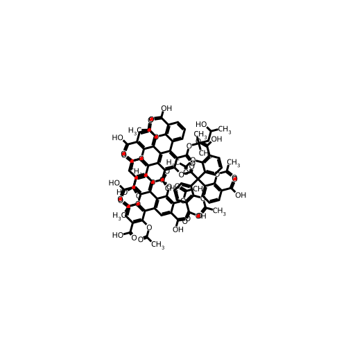 CC(=O)Oc1c(C(=O)O)cccc1-c1cc(C(=O)O)c(OC(C)=O)c(OOc2c(OC(=O)C(c3cccc(C(=O)O)c3OC(C)=O)(c3cccc(C(=O)O)c3OC(C)=O)c3cccc(C(=O)O)c3OC(C)=O)c(C(=O)OC(C)(C)CC(C)O)c(-c3cccc(C(=O)O)c3OC(C)=O)c(-c3cccc(C(=O)O)c3OC(C)=O)c2-c2cccc(C(=O)O)c2OC(C)=O)c1-c1cccc(C(=O)O)c1OC(C)=O